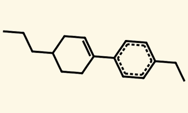 CCCC1CC=C(c2ccc(CC)cc2)CC1